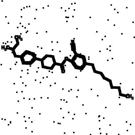 CCCCCCCCCc1ccc(OC(=O)C2CCC(c3ccc(CC(C)CC)cc3)CC2)c(C#N)c1